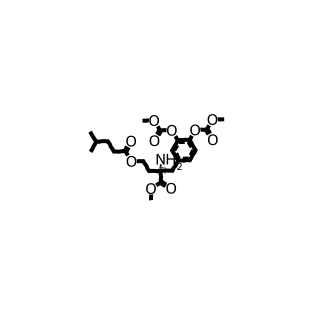 COC(=O)Oc1ccc(C[C@](N)(CCOC(=O)CCC(C)C)C(=O)OC)cc1OC(=O)OC